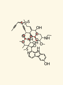 CC#C/C=C\C#C[C@H](OC1OC(C)C(SC)(C(=O)c2nccc3c2[nH]c2ccc(O)cc23)C(O)C1OC1CC(OC)C(NCC)CO1)C1=C(NC(=O)OC)C(=O)C[C@H](O)/C1=C/CS(C)(=S)=S